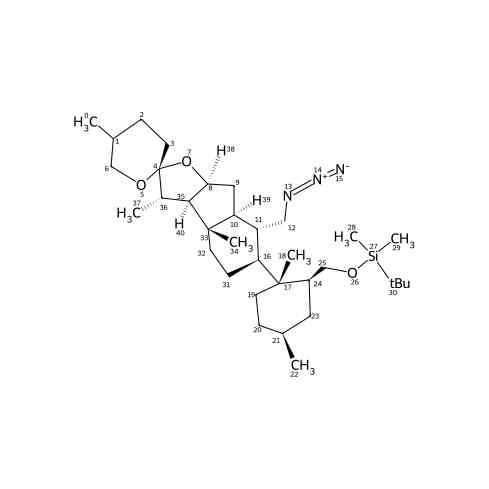 CC1CC[C@@]2(OC1)O[C@H]1C[C@H]3[C@H](CN=[N+]=[N-])[C@@H]([C@@]4(C)CC[C@H](C)C[C@@H]4CO[Si](C)(C)C(C)(C)C)CC[C@]3(C)[C@H]1[C@@H]2C